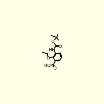 CCOc1c(NC(=O)OC(C)(C)C)cccc1C(=O)O